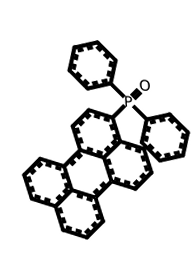 O=P(c1ccccc1)(c1ccccc1)c1ccc2c3cccc4cccc(c5cccc1c52)c43